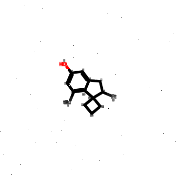 CCC1Cc2cc(O)cc(C(C)(C)C)c2C12CCC2